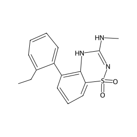 CCc1ccccc1-c1cccc2c1NC(NC)=NS2(=O)=O